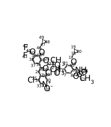 CC(C)(OC(=O)c1ccc(NS(C)(=O)=O)c(OCC2CC2)c1)C(=O)O[C@@H](Cc1c(Cl)c[n+]([O-])cc1Cl)c1ccc(OC(F)F)c(OCC2CC2)c1